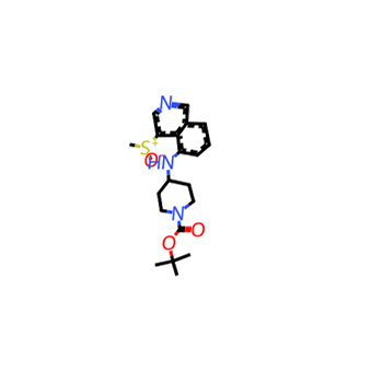 C[S+]([O-])c1cncc2cccc(NC3CCN(C(=O)OC(C)(C)C)CC3)c12